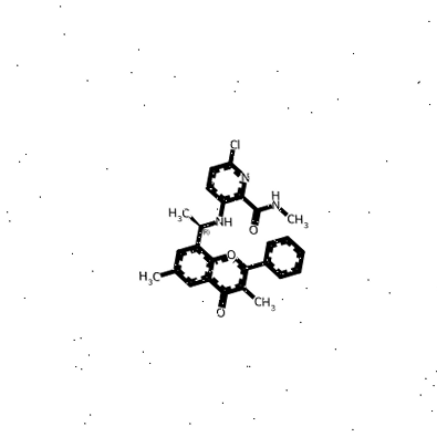 CNC(=O)c1nc(Cl)ccc1N[C@H](C)c1cc(C)cc2c(=O)c(C)c(-c3ccccc3)oc12